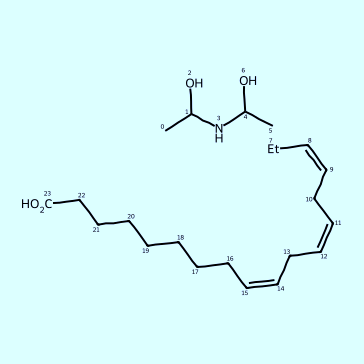 CC(O)NC(C)O.CC/C=C\C/C=C\C/C=C\CCCCCCCC(=O)O